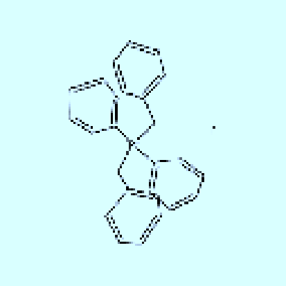 [I-].c1ccc(C[P+](Cc2ccccc2)(c2ccccc2)c2ccccc2)cc1